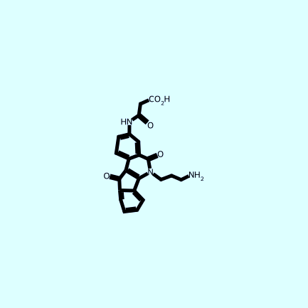 NCCCn1c2c(c3ccc(NC(=O)CC(=O)O)cc3c1=O)C(=O)c1ccccc1-2